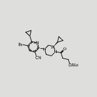 COCCC(=O)N1CCN(c2nc(C3CC3)c(Br)cc2C#N)C[C@H]1C1CC1